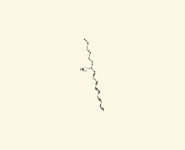 C=CC=CC=CCCCC(O)CCCCCC